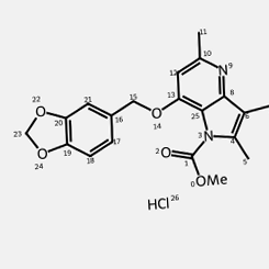 COC(=O)n1c(C)c(C)c2nc(C)cc(OCc3ccc4c(c3)OCO4)c21.Cl